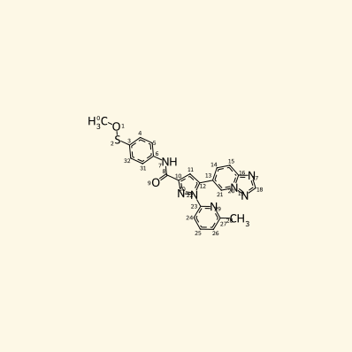 COSc1ccc(NC(=O)c2cc(-c3ccc4ncnn4c3)n(-c3cccc(C)n3)n2)cc1